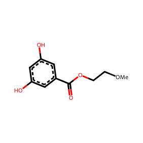 COCCOC(=O)c1cc(O)cc(O)c1